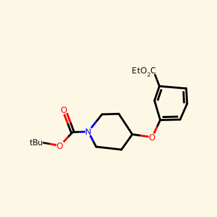 CCOC(=O)c1cccc(OC2CCN(C(=O)OC(C)(C)C)CC2)c1